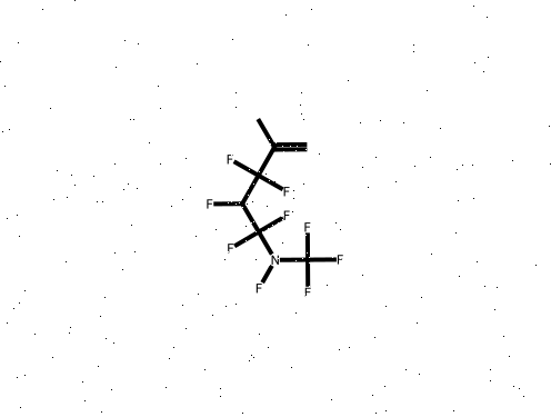 C=C(C)C(F)(F)C(F)C(F)(F)N(F)C(F)(F)F